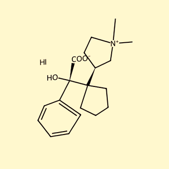 C[N+]1(C)CC[C@H](C2([C@](O)(C(=O)[O-])c3ccccc3)CCCC2)C1.I